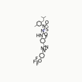 Cc1ccc(CC(C)C)c(N2C(=O)CS/C2=N\C(=O)Nc2ccc(-c3ncn(-c4ccc(OC(F)(F)F)cc4)n3)cc2F)c1